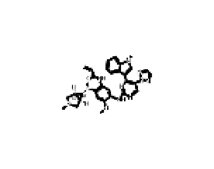 C=CC(=O)Nc1cc(Nc2ncc(-n3nccn3)c(-c3cn(C)c4ccccc34)n2)c(OC)cc1N(C)[C@H]1[C@@H]2CN(C)C[C@@H]21